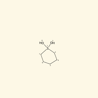 OS1(O)CCCCC1